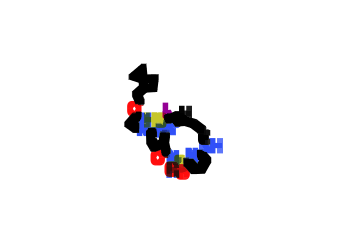 O=C1NS(=O)(=O)c2cccc(n2)NCCC[C@@H]2CN(c3nc(-n4ccc(OCCC5CCC56CC6)n4)ccc31)C(S)(I)C2